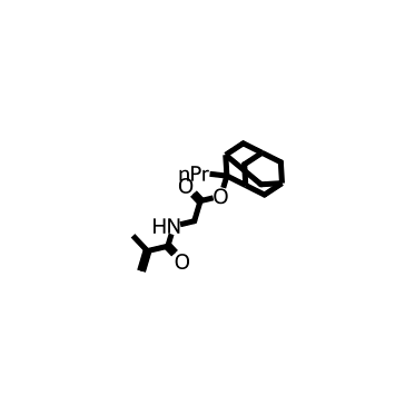 C=C(C)C(=O)NCC(=O)OC1(CCC)C2CC3CC(C2)CC1C3